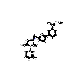 CO[NH+]([O-])c1cccc(-c2ccc(/C=C3/SC(=S)N(c4cccc(Cl)c4)C3=O)o2)c1